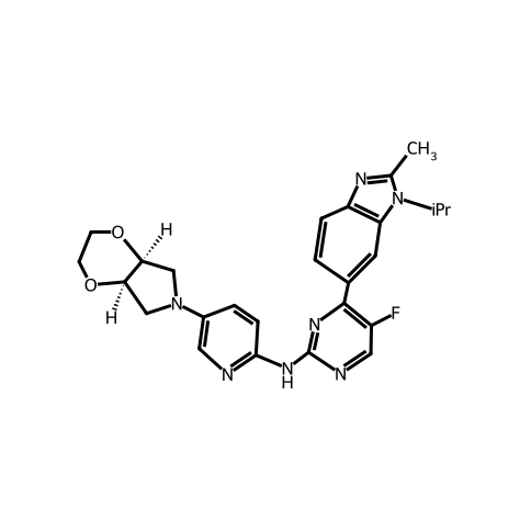 Cc1nc2ccc(-c3nc(Nc4ccc(N5C[C@@H]6OCCO[C@@H]6C5)cn4)ncc3F)cc2n1C(C)C